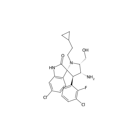 N[C@H]1[C@@H](CO)N(CCC2CC2)[C@]2(C(=O)Nc3cc(Cl)ccc32)[C@@H]1c1cccc(Cl)c1F